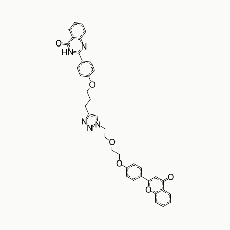 O=c1[nH]c(-c2ccc(OCCCc3cn(CCOCCOc4ccc(-c5cc(=O)c6ccccc6o5)cc4)nn3)cc2)nc2ccccc12